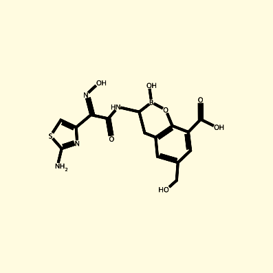 Nc1nc(C(=NO)C(=O)NC2Cc3cc(CO)cc(C(=O)O)c3OB2O)cs1